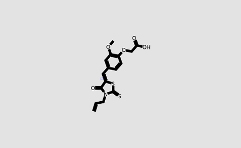 C=CCN1C(=O)/C(=C/c2ccc(OCC(=O)O)c(OC)c2)SC1=S